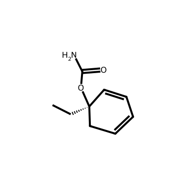 CC[C@]1(OC(N)=O)C=CC=CC1